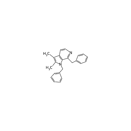 Cc1c(C)n(Cc2ccccc2)c2c(Cc3ccccc3)nccc12